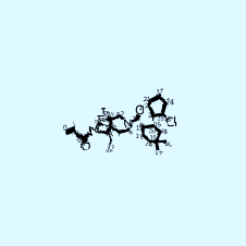 C=CC(=O)N1C[C@@]2(CCN(C(=O)[C@H]3CCC(C)(C)C[C@@H]3c3ccccc3Cl)CC2(F)F)[C@H]1C